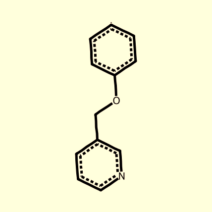 [c]1ccc(OCc2cccnc2)cc1